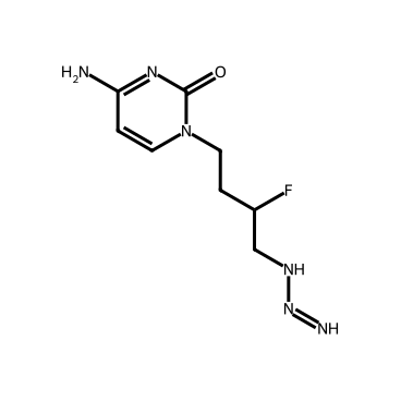 N=NNCC(F)CCn1ccc(N)nc1=O